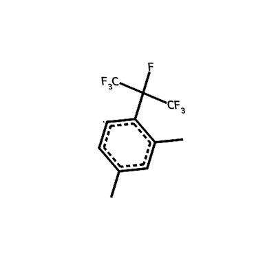 Cc1c[c]c(C(F)(C(F)(F)F)C(F)(F)F)c(C)c1